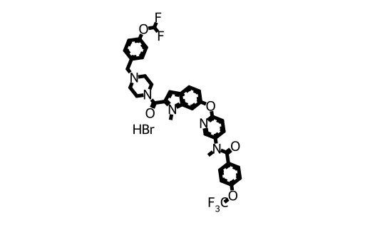 Br.CN(C(=O)c1ccc(OC(F)(F)F)cc1)c1ccc(Oc2ccc3cc(C(=O)N4CCN(Cc5ccc(OC(F)F)cc5)CC4)n(C)c3c2)nc1